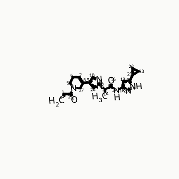 C=CC(=O)N1CCC=C(c2cnn(C(C)C(=O)Nc3cc(C4CC4)[nH]n3)c2)C1